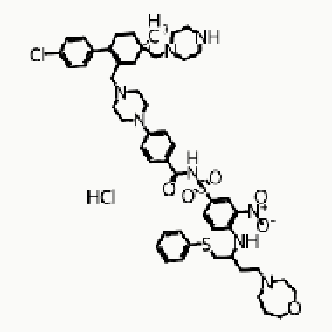 C[C@@]1(CN2CCNCC2)CCC(c2ccc(Cl)cc2)=C(CN2CCN(c3ccc(C(=O)NS(=O)(=O)c4ccc(NC(CCN5CCCOCC5)CSc5ccccc5)c([N+](=O)[O-])c4)cc3)CC2)C1.Cl